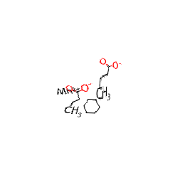 C1CCCCC1.CCCC(=O)[O-].CCCC(=O)[O-].[Mn+2]